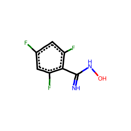 N=C(NO)c1c(F)cc(F)cc1F